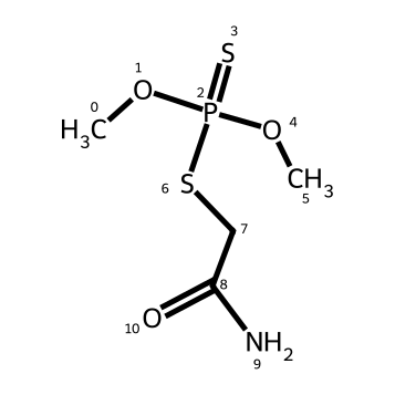 COP(=S)(OC)SCC(N)=O